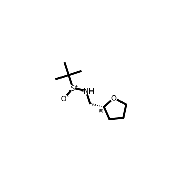 CC(C)(C)[S+]([O-])NC[C@H]1CCCO1